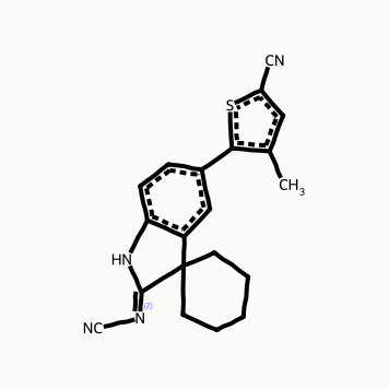 Cc1cc(C#N)sc1-c1ccc2c(c1)C1(CCCCC1)/C(=N/C#N)N2